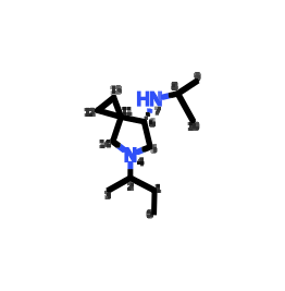 CCC(C)N1C[C@@H](NC(C)C)C2(CC2)C1